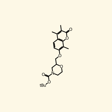 Cc1c(C)c2ccc(OCC3CN(C(=O)OC(C)(C)C)CCO3)c(C)c2oc1=O